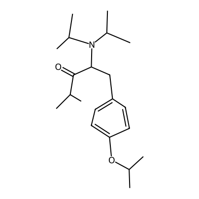 CC(C)Oc1ccc(CC(C(=O)C(C)C)N(C(C)C)C(C)C)cc1